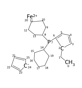 CC[c-]1cccc1P(C1CCCCC1)C1CCCCC1.[Fe+2].c1cc[cH-]c1